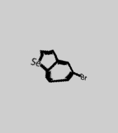 Brc1ccc2[se]ccc2c1